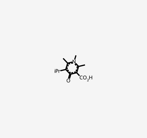 Cc1c(C(=O)O)c(=O)c(C(C)C)c(C)n1C